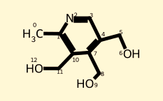 Cc1ncc(CO)c(CO)c1CO